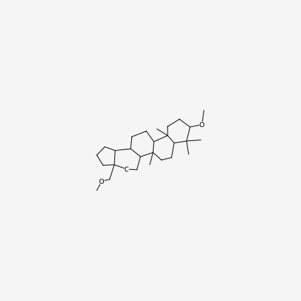 COCC12CCCC1C1CCC3C(C)(CCC4C(C)(C)C(OC)CCC43C)C1CC2